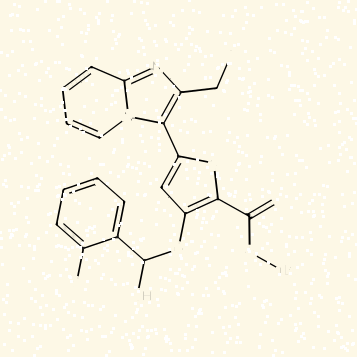 CC(Oc1cc(-c2c(CO)nc3ccccn23)sc1C(=O)OC(C)(C)C)c1ccccc1Cl